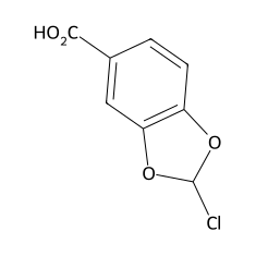 O=C(O)c1ccc2c(c1)OC(Cl)O2